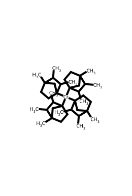 CC1C(C)[C]2([Cr]([C]34CCC(C)(C3)C(C)C4C)([C]34CCC(C)(C3)C(C)C4C)[C]34CCC(C)(C3)C(C)C4C)CCC1(C)C2